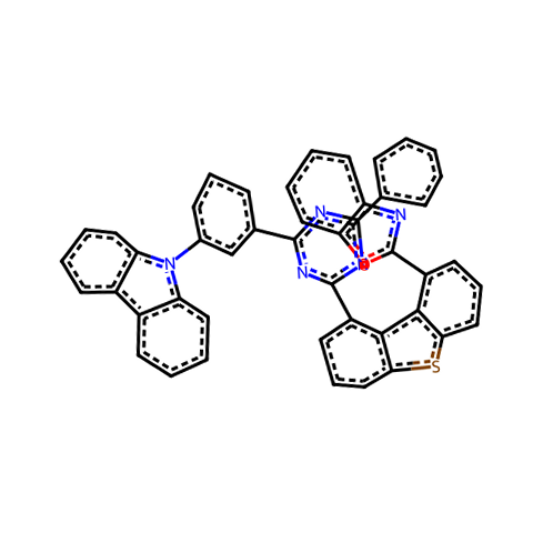 c1ccc(-c2nc(-c3cccc(-n4c5ccccc5c5ccccc54)c3)nc(-c3cccc4sc5cccc(-c6nc7ccccc7o6)c5c34)n2)cc1